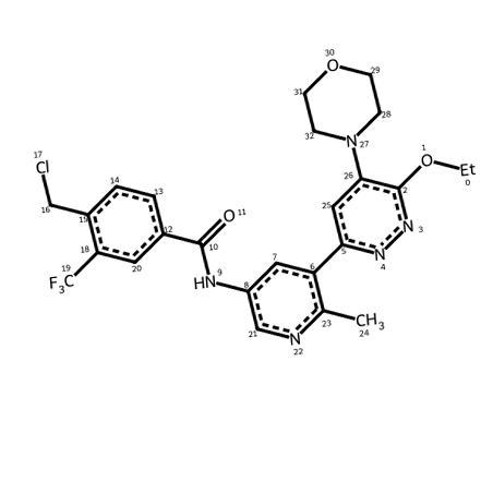 CCOc1nnc(-c2cc(NC(=O)c3ccc(CCl)c(C(F)(F)F)c3)cnc2C)cc1N1CCOCC1